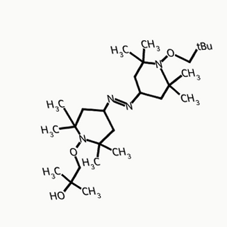 CC(C)(C)CON1C(C)(C)CC(N=NC2CC(C)(C)N(OCC(C)(C)O)C(C)(C)C2)CC1(C)C